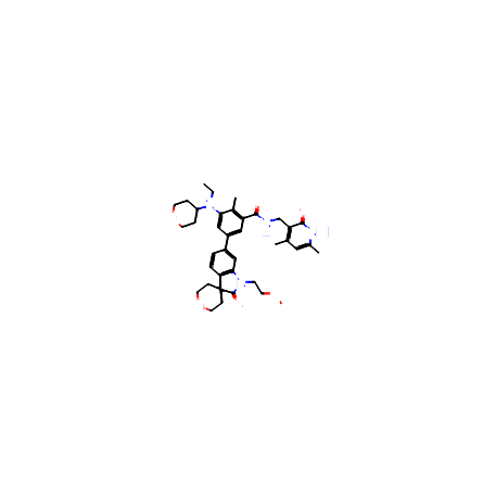 CCN(c1cc(-c2ccc3c(c2)N(CCOC)C(=O)C32CCOCC2)cc(C(=O)NCc2c(C)cc(C)[nH]c2=O)c1C)C1CCOCC1